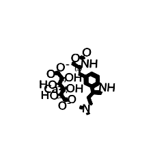 CN(C)CCc1c[nH]c2ccc(C[C@H]3COC(=O)N3)cc12.O=C([O-])[C@@H](O)[C@@H](O)[C@H](O)[C@@H](O)C(=O)[O-].[Ca+2]